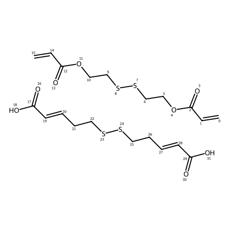 C=CC(=O)OCCSSCCOC(=O)C=C.O=C(O)C=CCCSSCCC=CC(=O)O